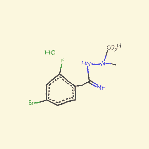 CN(NC(=N)c1ccc(Br)cc1F)C(=O)O.Cl